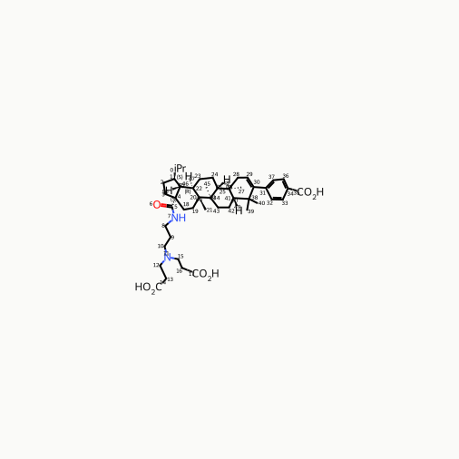 CC(C)[C@@H]1CC[C@]2(C(=O)NCCCN(CCC(=O)O)CCC(=O)O)CC[C@]3(C)[C@H](CC[C@@H]4[C@@]5(C)CC=C(c6ccc(C(=O)O)cc6)C(C)(C)[C@@H]5CC[C@]43C)[C@@H]12